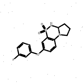 O=S1(=O)NC2CCCN2c2ccc(Oc3cccc(F)c3)cc21